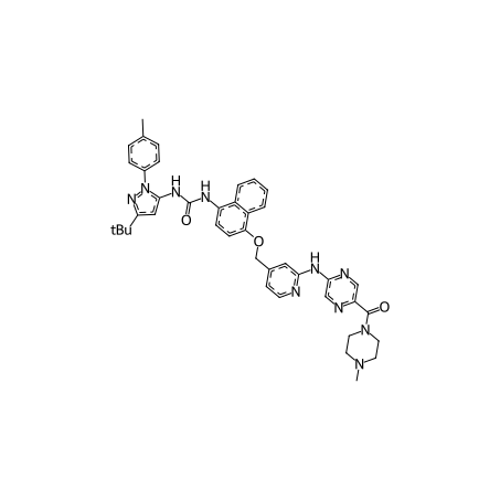 Cc1ccc(-n2nc(C(C)(C)C)cc2NC(=O)Nc2ccc(OCc3ccnc(Nc4cnc(C(=O)N5CCN(C)CC5)cn4)c3)c3ccccc23)cc1